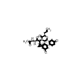 C=CC[C@H]1O[C@H](c2cccc(Cl)c2)[C@H](c2ccc(Cl)cc2)N(C(C(=O)NNC(C)=O)C2CC2)C1=O